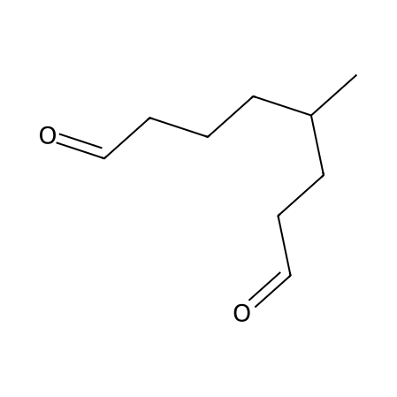 CC(CCC=O)CCCC=O